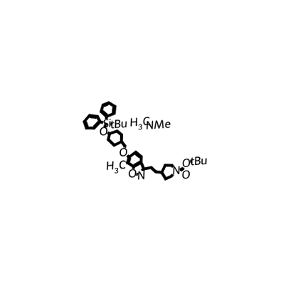 CNC.Cc1c(OCC2CCC(O[Si](c3ccccc3)(c3ccccc3)C(C)(C)C)CC2)ccc2c(CCC3CCN(C(=O)OC(C)(C)C)CC3)noc12